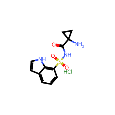 Cl.NC1(C(=O)NS(=O)(=O)c2cccc3cc[nH]c23)CC1